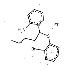 CCCCC(Sc1ccccc1Br)[n+]1ccccc1N.[Cl-]